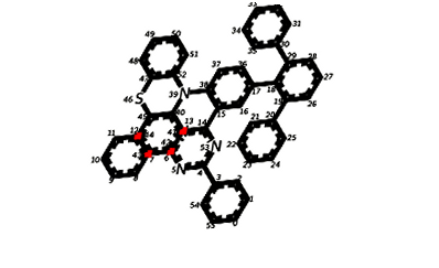 c1ccc(-c2nc(-c3ccccc3)nc(-c3cc(-c4c(-c5ccccc5)cccc4-c4ccccc4)ccc3N3c4ccccc4Sc4ccccc43)n2)cc1